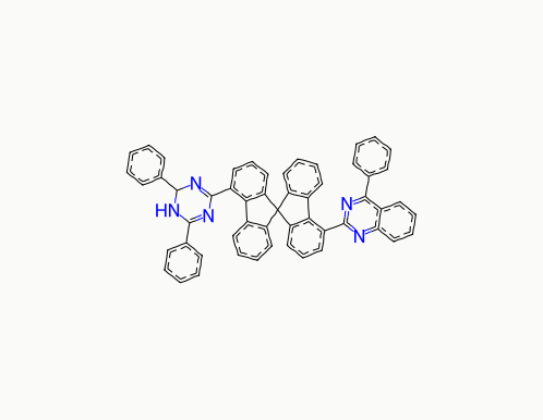 c1ccc(C2=NC(c3cccc4c3-c3ccccc3C43c4ccccc4-c4c(-c5nc(-c6ccccc6)c6ccccc6n5)cccc43)=NC(c3ccccc3)N2)cc1